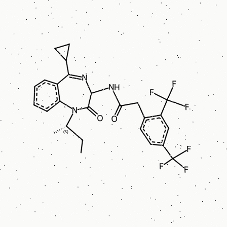 CC[C@H](C)N1C(=O)C(NC(=O)Cc2ccc(C(F)(F)F)cc2C(F)(F)F)N=C(C2CC2)c2ccccc21